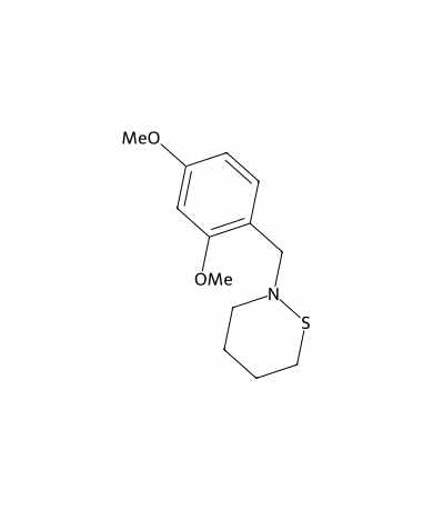 COc1ccc(CN2CCCCS2)c(OC)c1